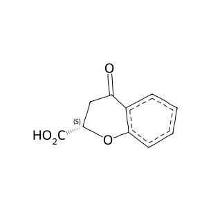 O=C1C[C@@H](C(=O)O)Oc2ccccc21